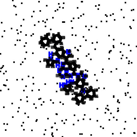 Cc1ccccc1-c1ccccc1Cc1cc2c(c(Nc3ccc[nH]3)c1)C(c1nc3ncnc4nc(-n5cnc6cc(-n7c8ccccc8c8ccccc87)cc(Nc7ccc[nH]7)c65)c5ccc1c5n34)C=N2